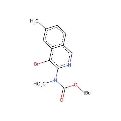 Cc1ccc2cnc(N(C(=O)O)C(=O)OC(C)(C)C)c(Br)c2c1